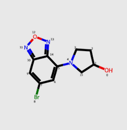 OC1CCN(c2cc(Br)cc3nonc23)C1